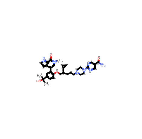 Cn1cc(-c2cc(C(C)(C)O)ccc2OCC(CCCN2CCN(c3ncc(C(N)=O)cn3)CC2)C2CC2)c2cc[nH]c2c1=O